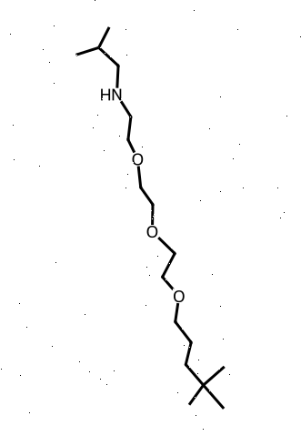 CC(C)CNCCOCCOCCOCCCC(C)(C)C